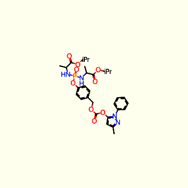 Cc1cc(OC(=O)OCc2ccc(OP(=O)(NC(C)C(=O)OC(C)C)NC(C)C(=O)OC(C)C)cc2)n(-c2ccccc2)n1